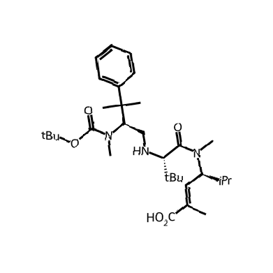 CC(=C[C@H](C(C)C)N(C)C(=O)[C@@H](NC[C@@H](N(C)C(=O)OC(C)(C)C)C(C)(C)c1ccccc1)C(C)(C)C)C(=O)O